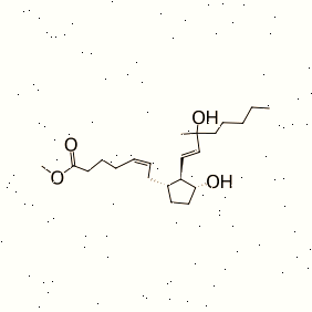 CCCCCC(C)(O)/C=C/[C@@H]1[C@@H](C/C=C\CCCC(=O)OC)CC[C@H]1O